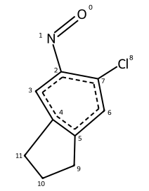 O=Nc1cc2c(cc1Cl)CCC2